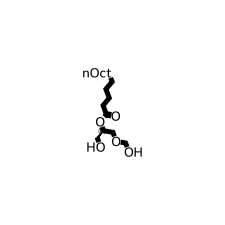 CCCCCCCCCCCCC(=O)O[C@H](CO)COCO